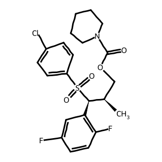 C[C@H](COC(=O)N1CCCCC1)[C@@H](c1cc(F)ccc1F)S(=O)(=O)c1ccc(Cl)cc1